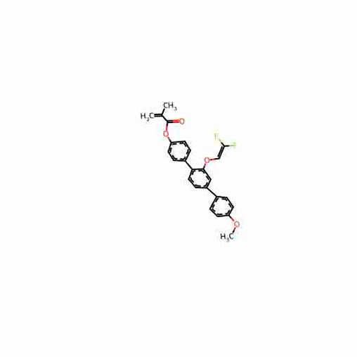 C=C(C)C(=O)Oc1ccc(-c2ccc(-c3ccc(OC)cc3)cc2OC=C(F)F)cc1